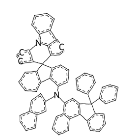 c1ccc(C2(c3ccccc3)c3ccccc3-c3c2cc(N(c2ccc4ccccc4c2)c2cccc4c2-c2ccccc2C42c4ccccc4-n4c5ccccc5c5cccc2c54)c2ccccc32)cc1